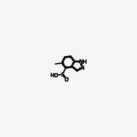 Cc1ccc2[nH]ncc2c1S(=O)O